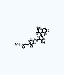 COC(=O)CCN1CCN(C/C=C2\CN(C(C(=O)C3CC3)c3ccccc3F)CCC2S)CC1=O